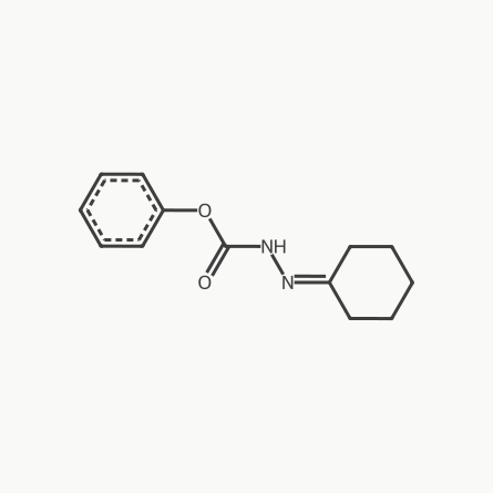 O=C(NN=C1CCCCC1)Oc1ccccc1